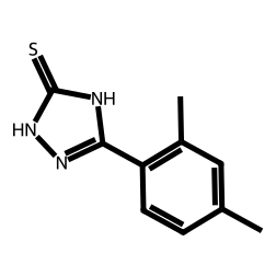 Cc1ccc(-c2n[nH]c(=S)[nH]2)c(C)c1